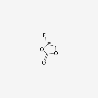 O=C1OC[C@@H](F)O1